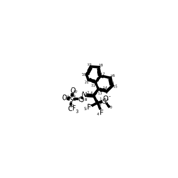 C[S+]([O-])C(F)(F)C(=NOS(=O)(=O)C(F)(F)F)c1cccc2ccccc12